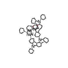 c1ccc(-c2nc(-c3ccccc3)nc(-c3ccc4c(c3)c3c(ccc5c6ccccc6n(-c6ccc7c(c6)c6ccc8c(c9ccccc9n8-c8ccccc8)c6n7-c6ccccc6)c53)n4-c3ccccc3)n2)cc1